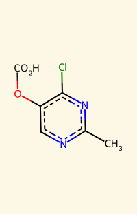 Cc1ncc(OC(=O)O)c(Cl)n1